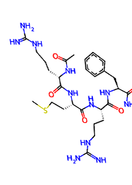 CSCC[C@H](NC(=O)[C@H](CCCNC(=N)N)NC(C)=O)C(=O)N[C@@H](CCCNC(=N)N)C(=O)N[C@@H](Cc1ccccc1)C(N)=O